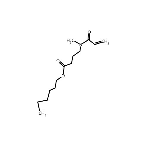 C=CC(=O)N(C)CCCC(=O)OCCCCCC